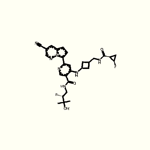 CC(C)(O)[C@H](F)CNC(=O)c1cnc(-c2ccc3cc(C#N)cnn23)cc1NC1CC(CNC(=O)[C@H]2C[C@H]2F)C1